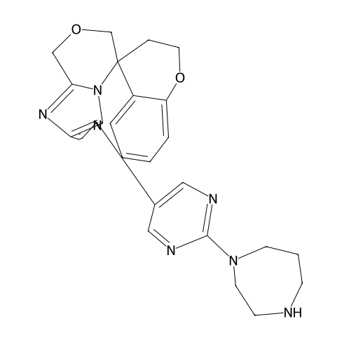 c1ccc2c(c1)OCCC21COCc2nc3ccc(-c4cnc(N5CCCNCC5)nc4)nc3n21